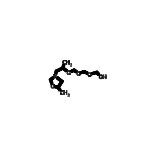 CC(CN1COC(C)C1)OCOCOCO